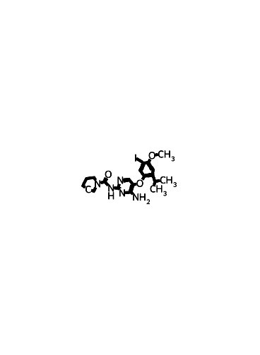 COc1cc(C(C)C)c(Oc2cnc(NC(=O)N3CCCCC3)nc2N)cc1I